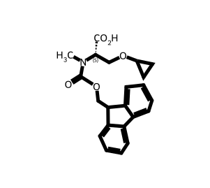 CN(C(=O)OCC1c2ccccc2-c2ccccc21)[C@@H](COC1CC1)C(=O)O